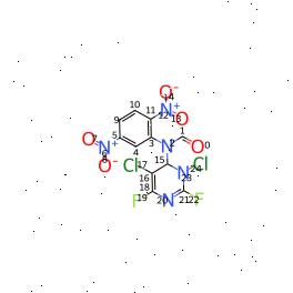 O=CN(c1cc([N+](=O)[O-])ccc1[N+](=O)[O-])C1C(Cl)=C(F)N=C(F)N1Cl